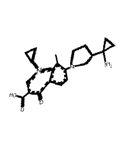 Cc1c(N2CCC(C3(N)CC3)C2)ccc2c(=O)c(C(=O)O)cn(C3CC3)c12